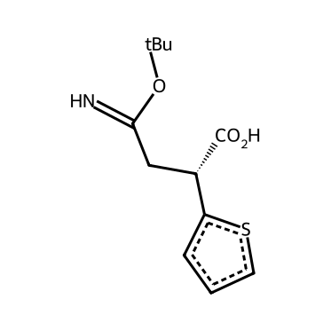 CC(C)(C)OC(=N)C[C@H](C(=O)O)c1cccs1